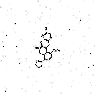 COc1ccc(C2OCCO2)c2c1N(Cc1ccc(Cl)nc1)C(=O)CC2.[NaH]